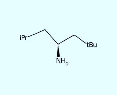 CC(C)C[C@H](N)CC(C)(C)C